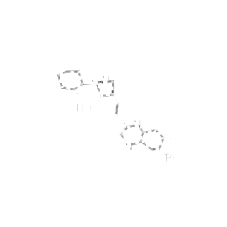 Cc1c(C=Cc2cnc3cc(Br)ccc3n2)cnn1-c1ccccc1